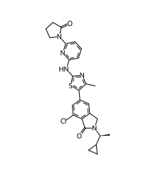 Cc1nc(Nc2cccc(N3CCCC3=O)n2)sc1-c1cc(Cl)c2c(c1)CN([C@@H](C)C1CC1)C2=O